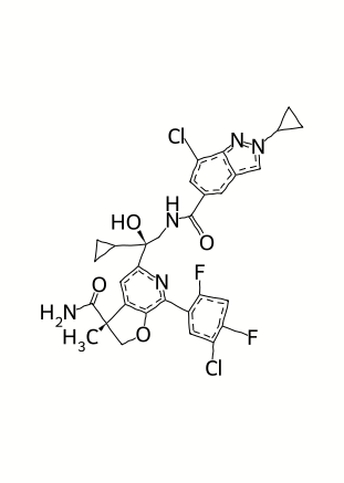 C[C@]1(C(N)=O)COc2c1cc([C@@](O)(CNC(=O)c1cc(Cl)c3nn(C4CC4)cc3c1)C1CC1)nc2-c1cc(Cl)c(F)cc1F